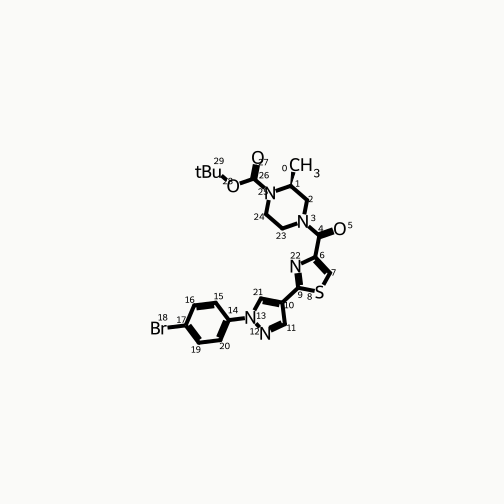 C[C@H]1CN(C(=O)c2csc(-c3cnn(-c4ccc(Br)cc4)c3)n2)CCN1C(=O)OC(C)(C)C